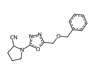 N#CC1CCCN1c1nnc(COCc2ccccc2)o1